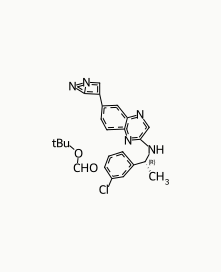 CC(C)(C)OC=O.C[C@@H](Nc1cnc2cc(-c3cn4nc3-4)ccc2n1)c1cccc(Cl)c1